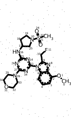 COc1cccc2c1nc(CF)n2-c1nc(NC2CCN(S(C)(=O)=O)C2)nc(N2CCOCC2)n1